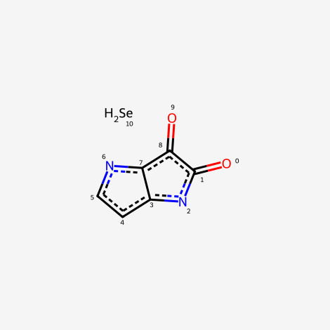 O=c1nc2ccnc-2c1=O.[SeH2]